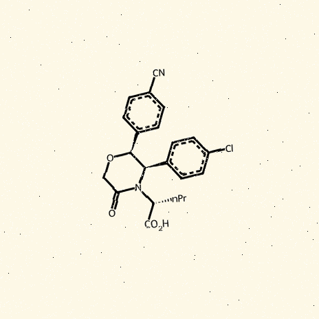 CCC[C@H](C(=O)O)N1C(=O)CO[C@@H](c2ccc(C#N)cc2)[C@H]1c1ccc(Cl)cc1